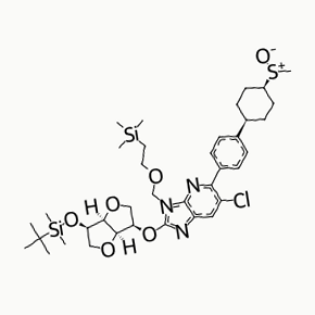 C[S+]([O-])[C@H]1CC[C@@H](c2ccc(-c3nc4c(cc3Cl)nc(O[C@@H]3CO[C@H]5[C@@H]3OC[C@H]5O[Si](C)(C)C(C)(C)C)n4COCC[Si](C)(C)C)cc2)CC1